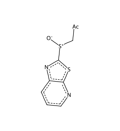 CC(=O)C[S+]([O-])c1nc2cccnc2s1